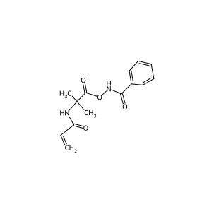 C=CC(=O)NC(C)(C)C(=O)ONC(=O)c1ccccc1